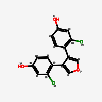 Oc1ccc(-c2cocc2-c2ccc(O)cc2Cl)c(Cl)c1